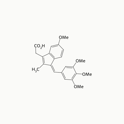 COc1ccc2c(c1)C(CC(=O)O)=C(C)/C2=C/c1cc(OC)c(OC)c(OC)c1